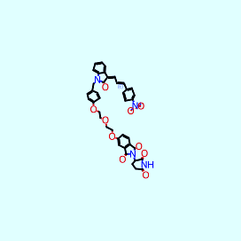 O=C1CCC(N2C(=O)c3ccc(OCCOCCOc4ccc(CN5C(=O)C(=C/C=C/c6ccc([N+](=O)[O-])cc6)c6ccccc65)cc4)cc3C2=O)C(=O)N1